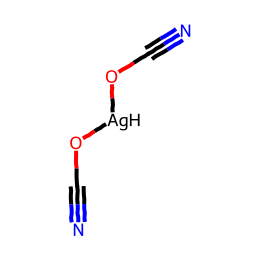 N#C[O][AgH][O]C#N